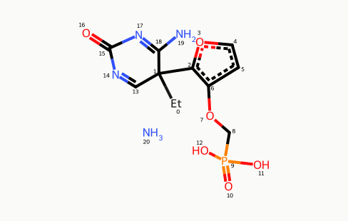 CCC1(c2occc2OCP(=O)(O)O)C=NC(=O)N=C1N.N